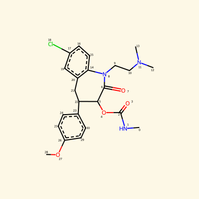 CNC(=O)OC1C(=O)N(CCN(C)C)c2ccc(Cl)cc2CC1c1ccc(OC)cc1